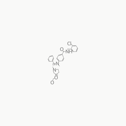 COCO[C@H]1CCN(C[C@H](c2ccccc2)N(C)c2ccc(C(=O)NCc3ccccc3Cl)cc2)C1